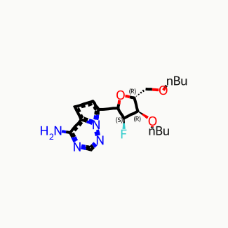 CCCCOC[C@H]1OC(c2ccc3c(N)ncnn23)[C@H](F)[C@@H]1OCCCC